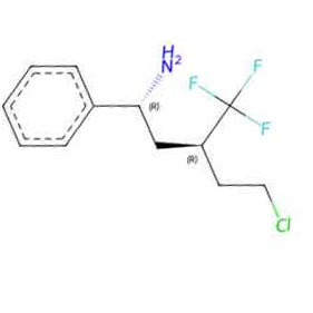 N[C@H](C[C@H](CCCl)C(F)(F)F)c1ccccc1